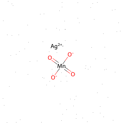 [Ag+2].[O]=[Mn](=[O])([O-])[O-]